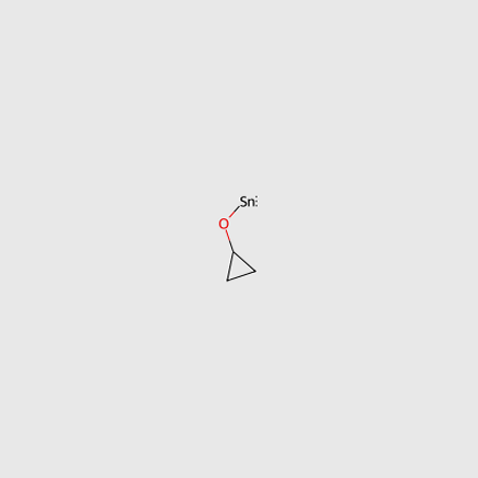 [Sn][O]C1CC1